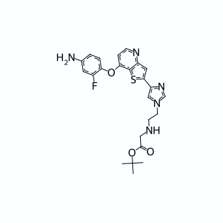 CC(C)(C)OC(=O)CNCCn1cnc(-c2cc3nccc(Oc4ccc(N)cc4F)c3s2)c1